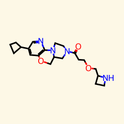 O=C(CCOCC1CCN1)N1CCN2c3ncc(C4CCC4)cc3OCC2C1